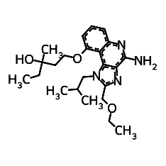 CCOCc1nc2c(N)nc3cccc(OCCC(C)(O)CC)c3c2n1CC(C)C